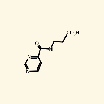 O=C(O)CCNC(=O)c1ccncn1